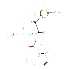 C=CC1=C(C(=O)O)N2C(=O)[C@@H](NC(=O)C(=NO)c3csc(N)n3)[C@H]2SC1.O.O.O.O